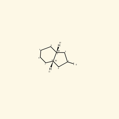 IC1C[C@H]2CCCC[C@H]2C1